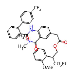 CCOC(=O)C(COC(=O)Cc1ccc(NC(=O)c2ccccc2-c2ccc(C(F)(F)F)cc2)c(C(=O)N(C)C)c1)c1ccccc1OC